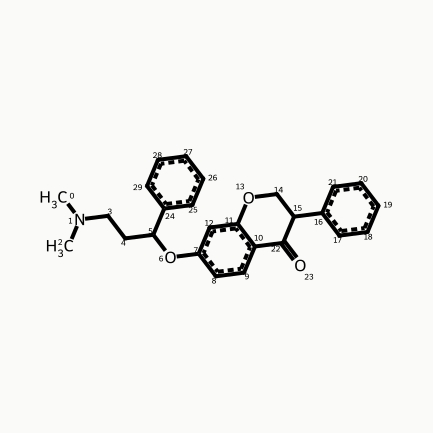 CN(C)CCC(Oc1ccc2c(c1)OCC(c1ccccc1)C2=O)c1ccccc1